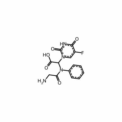 NCC(=O)N(c1ccccc1)C(C(=O)O)n1cc(F)c(=O)[nH]c1=O